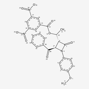 COc1ccc(N2C(=O)[C@@H](C(C)OC(=O)c3cc([N+](=O)[O-])cc([N+](=O)[O-])c3)[C@@H]2C(=O)c2ccccc2)cc1